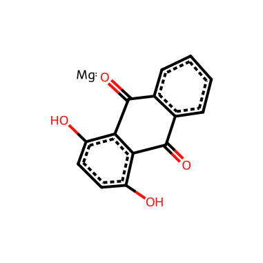 O=C1c2ccccc2C(=O)c2c(O)ccc(O)c21.[Mg]